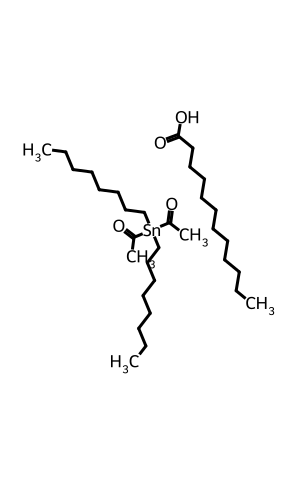 CCCCCCCCCCCC(=O)O.CCCCCCC[CH2][Sn]([CH2]CCCCCCC)([C](C)=O)[C](C)=O